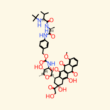 COc1cccc2c1C(=O)c1c(O)c3c(c(O)c1C2=O)C[C@](O)(C(=O)CO)CC3[C@H]1CC(NC(=O)OCc2ccc(NC(=O)[C@H](C)NC(=O)[C@@H](NC(C)(C)C)C(C)C)cc2)[C@@H](O)[C@@H](C)O1